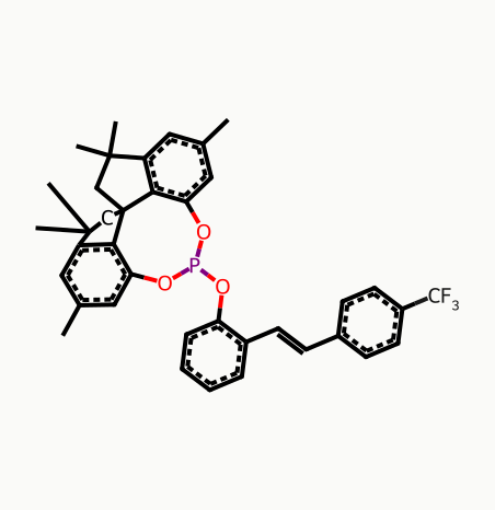 Cc1cc2c3c(c1)C(C)(C)CC31CC(C)(C)c3cc(C)cc(c31)OP(Oc1ccccc1/C=C/c1ccc(C(F)(F)F)cc1)O2